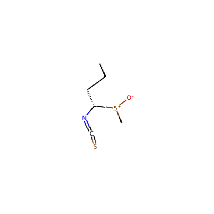 CCC[C@@H](N=C=S)[S+](C)[O-]